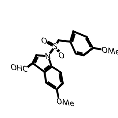 COc1ccc(CS(=O)(=O)n2cc(C=O)c3cc(OC)ccc32)cc1